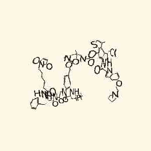 Cc1csc2c(OC(=O)N(C)CC(C)(C)CN(C)C(=O)OCc3ccc(N(CC(=O)NC(=O)[C@H](Cc4ccccc4)NC(=O)CCCCCN4C(=O)C=CC4=O)C(=O)[C@@H](N)CC(C)C)cc3)cc3c(c12)[C@H](CCl)CN3C(=O)c1cc2cc(OCCN3CCCC3)ccc2[nH]1